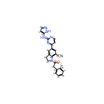 N#Cc1cc(-c2ccnc(Nc3ccn[nH]3)n2)cc2c1N(C(=O)Cc1ccccc1F)CC2